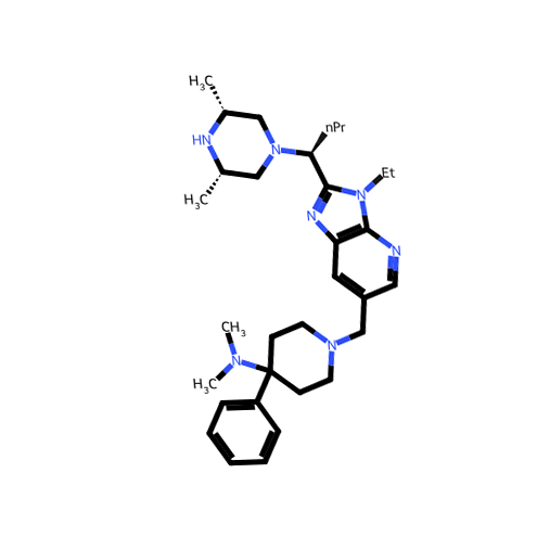 CCC[C@@H](c1nc2cc(CN3CCC(c4ccccc4)(N(C)C)CC3)cnc2n1CC)N1C[C@@H](C)N[C@@H](C)C1